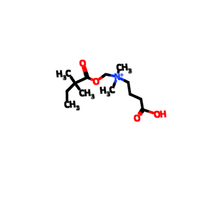 CCC(C)(C)C(=O)OC[N+](C)(C)CCCC(=O)O